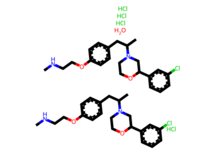 CNCCOc1ccc(CC(C)N2CCOC(c3cccc(Cl)c3)C2)cc1.CNCCOc1ccc(CC(C)N2CCOC(c3cccc(Cl)c3)C2)cc1.Cl.Cl.Cl.Cl.O